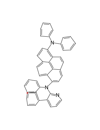 c1ccc(-c2cccnc2N(c2ccccc2)c2ccc3ccc4c(N(c5ccccc5)c5ccccc5)ccc5ccc2c3c54)cc1